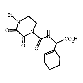 CCN1CCN(C(=O)NC(C(=O)O)C2=CCCCC2)C(=O)C1=O